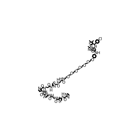 CC(=N)N1C(=N)[C@H](CC(=O)Nc2ccc(OCCOCCOCCOCCOCCOCCOCCNC(=O)CCNC(=O)c3nc(NC(=O)CCNC(=O)c4c(NC(=O)c5nc(NC(=O)CCNC(=O)c6cc(NC(=O)c7nccn7C)cn6C)cn5C)ccn4C)cn3C)cc2)N=C(c2ccc(Cl)cc2)c2c1sc(C)c2C